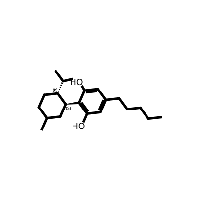 CCCCCc1cc(O)c([C@H]2CC(C)CC[C@@H]2C(C)C)c(O)c1